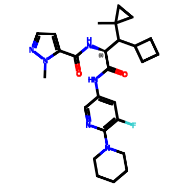 Cn1nccc1C(=O)N[C@H](C(=O)Nc1cnc(N2CCCCC2)c(F)c1)C(C1CCC1)C1(C)CC1